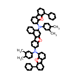 Cc1ccc(N(c2ccc3c(c2)oc2cc(N(c4ccc(C)c(C)c4)c4cccc5c4oc4c(-c6ccccc6)cccc45)c4ccccc4c23)c2cccc3c2oc2c(-c4ccccc4)cccc23)cc1C